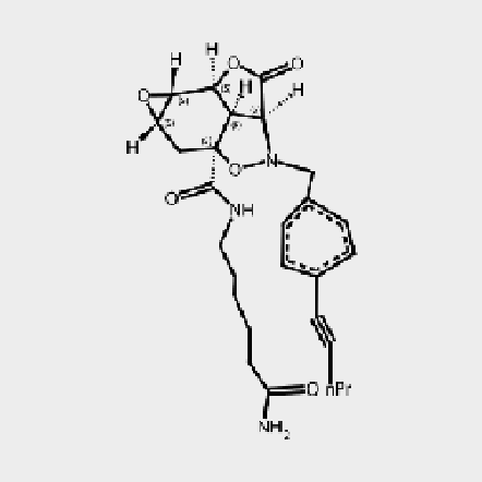 CCCC#Cc1ccc(CN2O[C@@]3(C(=O)NCCCCCC(N)=O)C[C@@H]4O[C@@H]4[C@H]4OC(=O)[C@@H]2[C@H]43)cc1